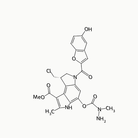 COC(=O)c1c(C)[nH]c2c(OC(=O)N(C)N)cc3c(c12)[C@H](CCl)CN3C(=O)c1cc2cc(O)ccc2o1